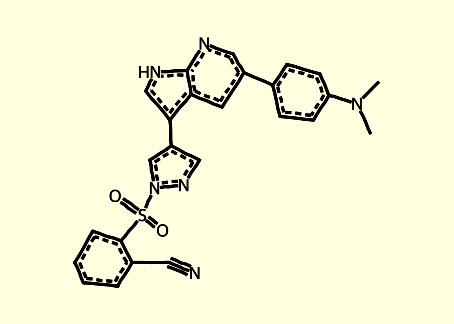 CN(C)c1ccc(-c2cnc3[nH]cc(-c4cnn(S(=O)(=O)c5ccccc5C#N)c4)c3c2)cc1